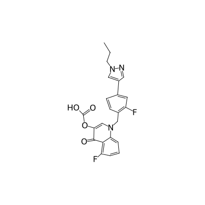 CCCn1cc(-c2ccc(Cn3cc(OC(=O)O)c(=O)c4c(F)cccc43)c(F)c2)cn1